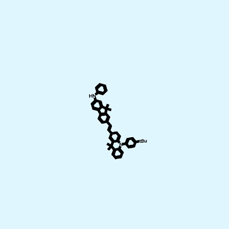 CC(C)(C)c1ccc(N2C3=CCC(/C=C/c4ccc5c(c4)C(C)(C)c4cc(Nc6ccccc6)ccc4-5)C=C3C(C)(C)c3ccccc32)cc1